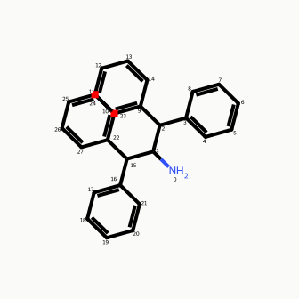 NC(C(c1ccccc1)c1ccccc1)C(c1ccccc1)c1ccccc1